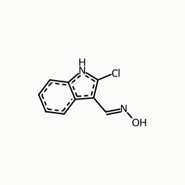 ON=Cc1c(Cl)[nH]c2ccccc12